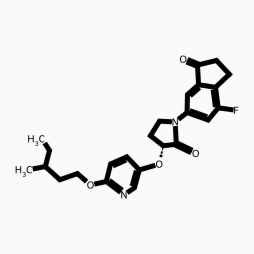 CCC(C)CCOc1ccc(O[C@@H]2CCN(c3cc(F)c4c(c3)C(=O)CC4)C2=O)cn1